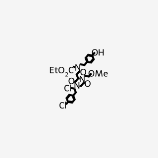 CCOC(=O)CN(CCc1ccc(O)cc1)C(=O)CC1C(=O)N(C(Cl)Cc2ccc(Cl)cc2)CC(=O)N1CCOC